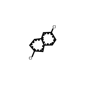 Clc1ccc2cc(Cl)ccc2c1